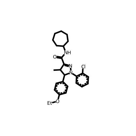 CCOc1ccc(C2C(C)C(C(=O)NC3CCCCCC3)=NN2c2ccccc2Cl)cc1